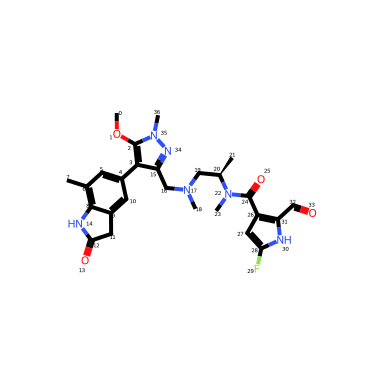 COc1c(-c2cc(C)c3c(c2)CC(=O)N3)c(CN(C)C[C@@H](C)N(C)C(=O)c2cc(F)[nH]c2C=O)nn1C